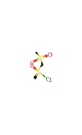 C=S(=O)(Cl)CS(C)(=O)=O